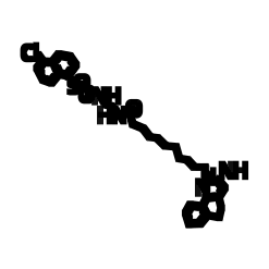 N=c1cc2c(nn1CCCCCCCCCCC(=O)NCCNOOSc1cccc3c(Cl)cccc13)-c1ccccc1CC2